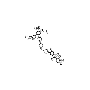 COc1cc(N2CCN(C3CCN(CC4CCN(c5cc6c(cc5F)C(=O)N(C5CCC(=O)NC5=O)C6=O)CC4)CC3)CC2)c(-c2cnn(C)c2)cc1[N+](=O)[O-]